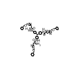 N[C@@H](Cc1cn(COCc2ccccc2)cn1)C(=O)Nc1ccc(C(c2ccc(NC(=O)[C@@H](N)Cc3cn(COCc4ccccc4)cn3)cc2)c2ccc(NC(=O)[C@@H](N)Cc3cn(COCc4ccccc4)cn3)cc2)cc1